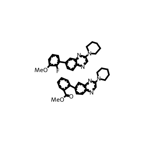 COC(=O)c1ccccc1-c1ccc2ncc(N3CCCCC3)nc2c1.COc1cccc(-c2ccc3ncc(N4CCCCC4)nc3c2)c1F